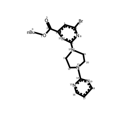 CCCCOC(=O)c1cc(Br)nc(N2CCN(c3ncccn3)CC2)n1